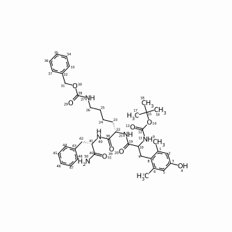 Cc1cc(O)cc(C)c1CC(NC(=O)OC(C)(C)C)C(=O)N[C@@H](CCCCNC(=O)OCc1ccccc1)C(=O)N[C@@H](Cc1ccccc1)C(N)=O